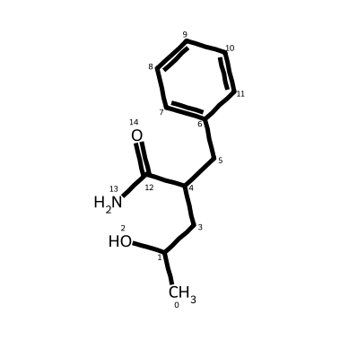 CC(O)CC(Cc1ccccc1)C(N)=O